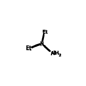 CC[N]([AlH2])CC